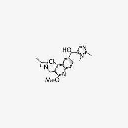 COc1nc2ccc(C(O)c3cnc(C)n3C)cc2c(Cl)c1CN1CC(C)C1